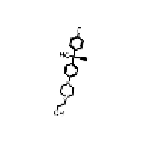 C#CC(O)(c1ccc(F)cc1)c1ccc(N2CCN(CCO)CC2)cc1